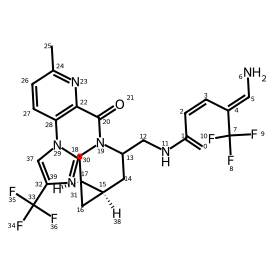 C=C(/C=C\C(=C/N)C(F)(F)F)NCC1C[C@H]2C[C@H]2CN1C(=O)c1nc(C)ccc1-n1cnc(C(F)(F)F)c1